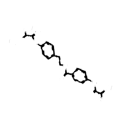 C=C(C)C(=O)Oc1ccc(CCOC(=O)c2ccc(OC(=O)C(=C)C)cc2)cc1